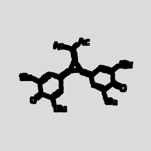 CC(=O)C(C(C)=O)=C1C(=C2C=C(C(C)(C)C)C(=O)C(C(C)(C)C)=C2)C1=C1C=C(C(C)(C)C)C(=O)C(C(C)(C)C)=C1